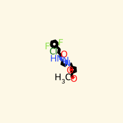 CC(=O)c1ccc(Cn2ccc(NC(=O)/C=C/c3c(F)ccc(F)c3Cl)n2)o1